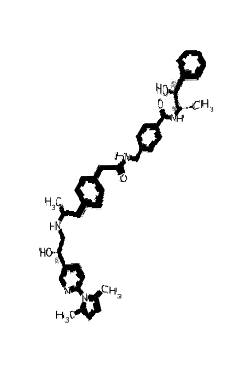 Cc1ccc(C)n1-c1ccc([C@H](O)CNC(C)Cc2ccc(CC(=O)NCc3ccc(C(=O)N[C@@H](C)[C@@H](O)c4ccccc4)cc3)cc2)cn1